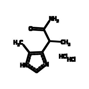 Cc1[nH]cnc1C(C)C(N)=O.Cl.Cl